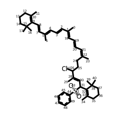 CC(C=CC=C(C)C=CC1=C(C)CCCC1(C)C)=CC=CC=C(C)CCC(Cl)C(C)=CC(C1=C(C)CCCC1(C)C)S(=O)(=O)c1ccccc1